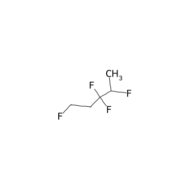 CC(F)C(F)(F)CCF